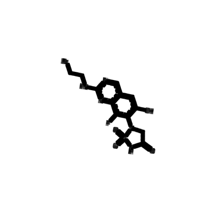 CC(C)CCNc1ncc2cc(O)c(N3CC(=O)NS3(=O)=O)c(F)c2n1